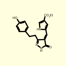 CCOC(=O)c1c[nH]c(/C=C2/C(=O)NN=C2CCc2ccc(O)cc2)c1